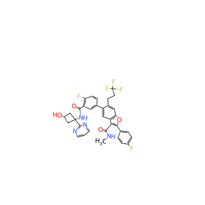 CNC(=O)c1c(-c2ccc(F)cc2)oc2cc(CCC(F)(F)F)c(-c3ccc(F)c(C(=O)NC4(c5ncccn5)CC(O)C4)c3)cc12